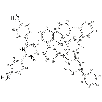 Bc1ccc(-c2nc(-c3ccc(B)cc3)nc(-c3ccc4c(c3)C(c3ccccc3)(c3ccccc3)c3cc(-c5ccccc5)cc5c6cc(-c7ccccc7)ccc6n-4c35)n2)cc1